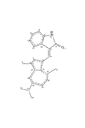 Cc1cc(/C=C2/C(=O)Nc3ccccc32)c2c(C)ccc(C(C)C)cc1-2